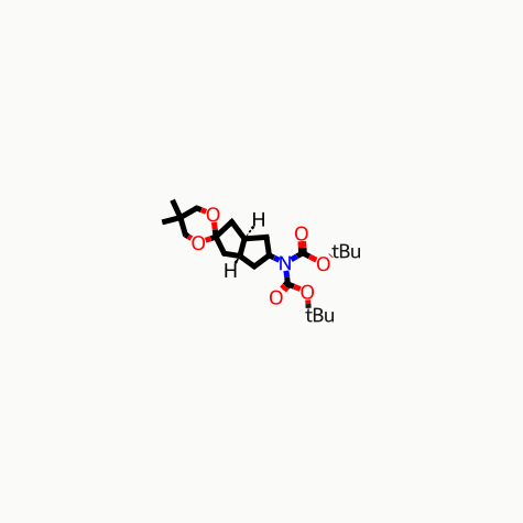 CC1(C)COC2(C[C@H]3CC(N(C(=O)OC(C)(C)C)C(=O)OC(C)(C)C)C[C@H]3C2)OC1